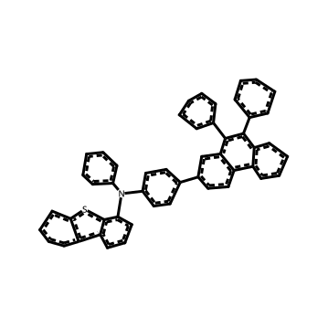 c1ccc(-c2c(-c3ccccc3)c3cc(-c4ccc(N(c5ccccc5)c5cccc6c5sc5ccccc56)cc4)ccc3c3ccccc23)cc1